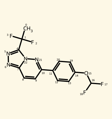 CC(F)(F)c1nnc2ccc(-c3ccc(OC(F)F)cc3)nn12